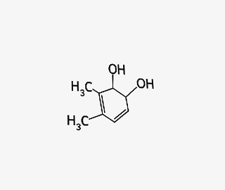 CC1=C(C)C(O)C(O)C=C1